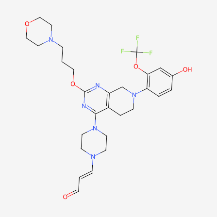 O=CC=CN1CCN(c2nc(OCCCN3CCOCC3)nc3c2CCN(c2ccc(O)cc2OC(F)(F)F)C3)CC1